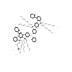 CCCCCCCCC1(CCCCCCCC)c2cc(N(c3ccc4c(c3)C(CCCCCCC)(CCCCCCC)c3c5c(c6c(oc7ccccc76)c3-4)-c3ccccc3C5(CCCCCCC)CCCCCCC)c3c(C)cccc3C)ccc2-c2cc3c(cc21)-c1c(ccc2oc4ccccc4c12)C3(CCCCCCCC)CCCCCCCC